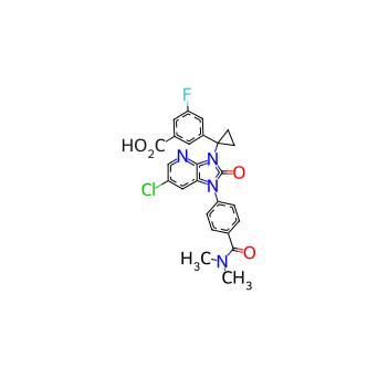 CN(C)C(=O)c1ccc(-n2c(=O)n(C3(c4cc(F)cc(C(=O)O)c4)CC3)c3ncc(Cl)cc32)cc1